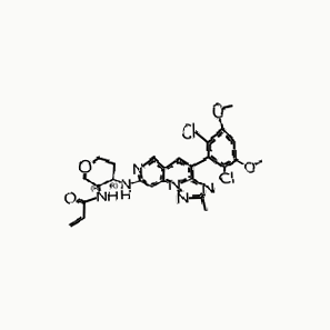 C=CC(=O)N[C@H]1COCC[C@H]1Nc1cc2c(cn1)cc(-c1c(Cl)c(OC)cc(OC)c1Cl)c1nc(C)nn12